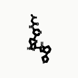 CN(C)CC(=O)Nc1cncc(-c2ccc3[nH]nc(-c4cc5c(-c6ccsc6)cccc5[nH]4)c3n2)c1